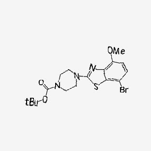 COc1ccc(Br)c2sc(N3CCN(C(=O)OC(C)(C)C)CC3)nc12